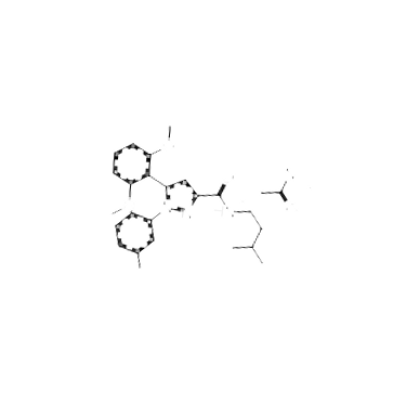 COc1cccc(OC)c1-c1cc(C(=O)N[C@H](CC(N)=O)CC(C)C)nn1-c1cccc(F)c1